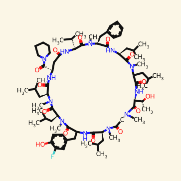 CC(C)CC1C(=O)N[C@@H]([C@@H](C)O)C(=O)N(C)CC(=O)N(C)[C@@H](CC(C)C)C(=O)NC(Cc2ccc(O)c(F)c2)C(=O)N(C)[C@@H](CC(C)C)C(=O)N(C)[C@@H](CC(C)C)C(=O)N[C@H](C(=O)N2CCCCC2)CC(=O)N[C@H](C(C)C)C(=O)N(C)[C@@H](Cc2ccccc2)C(=O)N[C@@H](CC(C)C)C(=O)N1C